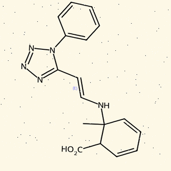 CC1(N/C=C/c2nnnn2-c2ccccc2)C=CC=CC1C(=O)O